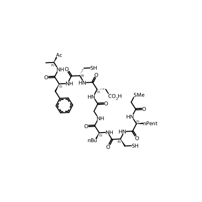 CCCCC[C@H](NC(=O)CSC)C(=O)N[C@@H](CS)C(=O)N[C@@H](CCCC)C(=O)NCC(=O)N[C@@H](CC(=O)O)C(=O)N[C@@H](CS)C(=O)N[C@@H](Cc1ccccc1)C(=O)N[C@@H](C)C(C)=O